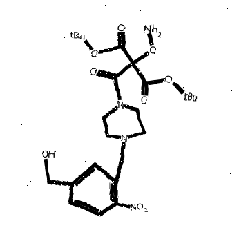 CC(C)(C)OC(=O)C(ON)(C(=O)OC(C)(C)C)C(=O)N1CCN(Cc2cc(CO)ccc2[N+](=O)[O-])CC1